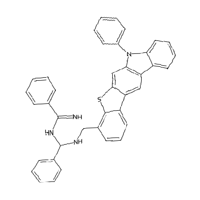 N=C(NC(NCc1cccc2c1sc1cc3c(cc12)c1ccccc1n3-c1ccccc1)c1ccccc1)c1ccccc1